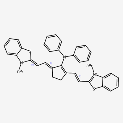 CCCN1/C(=C/C=C2\CCC(/C=C/c3sc4ccccc4[n+]3CCC)=C2N(c2ccccc2)c2ccccc2)Sc2ccccc21